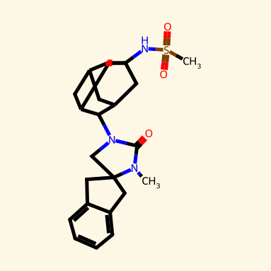 CN1C(=O)N(C2C3CC4CC2CC(NS(C)(=O)=O)(C4)C3)CC12Cc1ccccc1C2